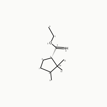 CCOC(=N)[C@H]1CCC(C)C1(C)C